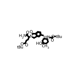 CC(C)(C)OC(=O)CCC(C(N)=O)N1Cc2cc(C[C@H]3C[C@](C)(O)CC[C@@H]3NC(=O)OC(C)(C)C)ccc2C1=O